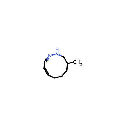 CC1CCC/C=C\C=N/NC1